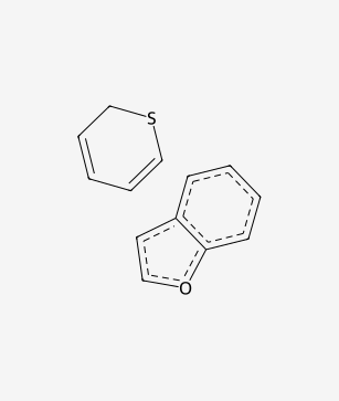 C1=CCSC=C1.c1ccc2occc2c1